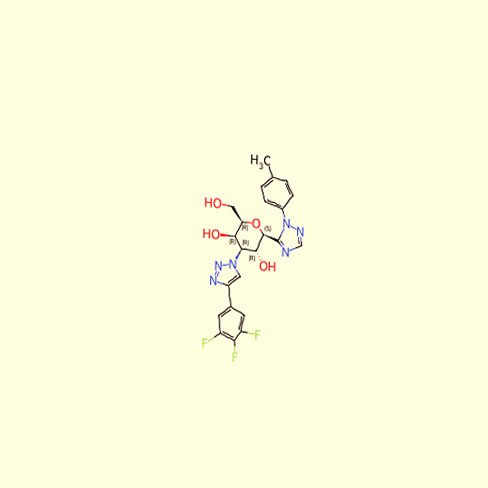 Cc1ccc(-n2ncnc2[C@@H]2O[C@H](CO)[C@H](O)[C@H](n3cc(-c4cc(F)c(F)c(F)c4)nn3)[C@H]2O)cc1